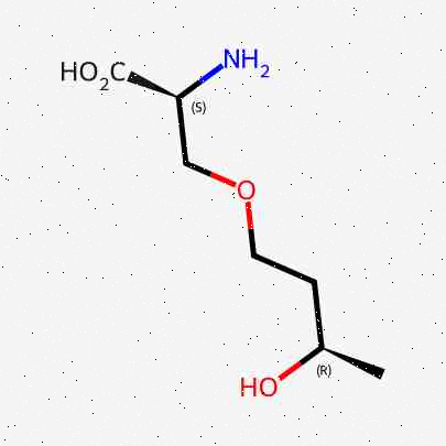 C[C@@H](O)CCOC[C@H](N)C(=O)O